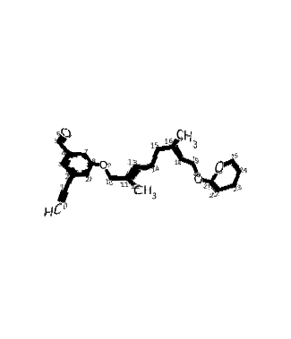 C#Cc1cc(C=O)cc(OCC(C)=CCCC(C)=CCOC2CCCCO2)c1